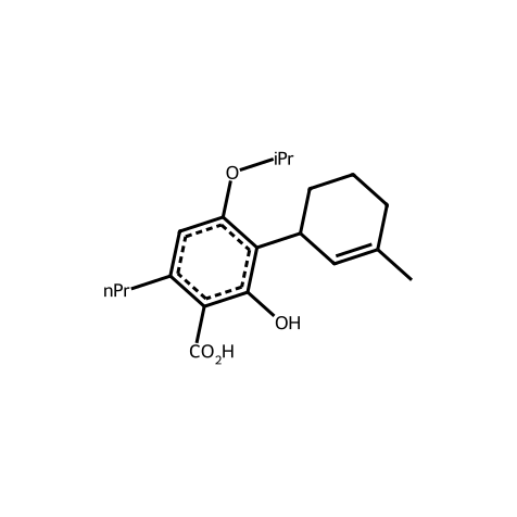 CCCc1cc(OC(C)C)c(C2C=C(C)CCC2)c(O)c1C(=O)O